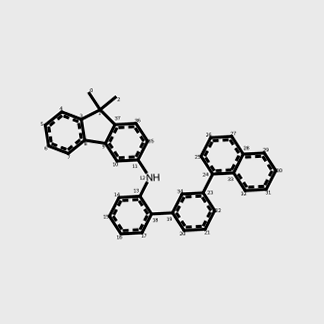 CC1(C)c2ccccc2-c2cc(Nc3ccccc3-c3cccc(-c4cccc5ccccc45)c3)ccc21